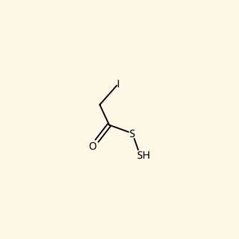 O=C(CI)SS